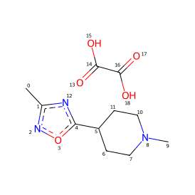 Cc1noc(C2CCN(C)CC2)n1.O=C(O)C(=O)O